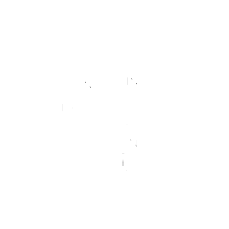 NC(O)=S.O=C1CCc2cc(NC(O)=S)ccc2N1